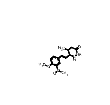 COc1ccc(/C=C/C2NNC(=O)CC2C)cc1[S+](C)[O-]